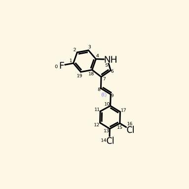 Fc1ccc2[nH]cc(/C=C/c3ccc(Cl)c(Cl)c3)c2c1